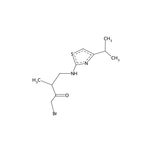 CC(CNc1nc(C(C)C)cs1)C(=O)CBr